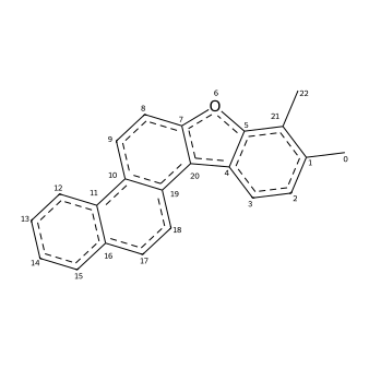 Cc1ccc2c(oc3ccc4c5ccccc5ccc4c32)c1C